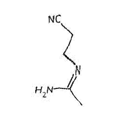 CC(N)=NCCC#N